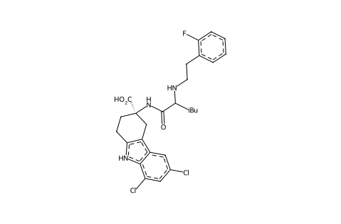 CCC(C)C(NCCc1ccccc1F)C(=O)N[C@]1(C(=O)O)CCc2[nH]c3c(Cl)cc(Cl)cc3c2C1